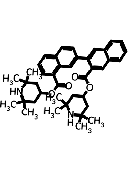 CC1(C)CC(OC(=O)c2cc3ccccc3cc2-c2ccc3cccc(C(=O)OC4CC(C)(C)NC(C)(C)C4)c3c2)CC(C)(C)N1